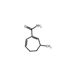 CC1C=C(C(N)=O)C=CCC1